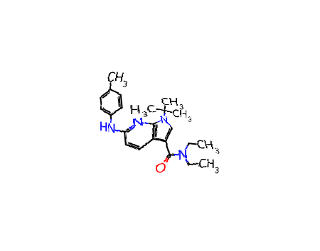 CCN(CC)C(=O)c1cn(C(C)(C)C)c2nc(Nc3ccc(C)cc3)ccc12